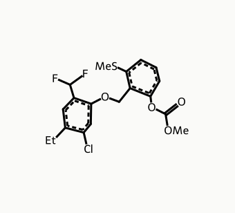 CCc1cc(C(F)F)c(OCc2c(OC(=O)OC)cccc2SC)cc1Cl